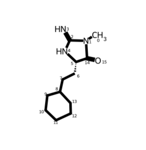 CN1C(=N)N[C@@H](CCC2CCCCC2)C1=O